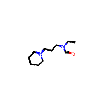 CCN([C]=O)CCCN1CCCCC1